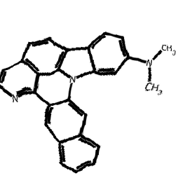 CN(C)c1ccc2c3ccc4ccnc5c6cc7ccccc7cc6n(c2c1)c3c45